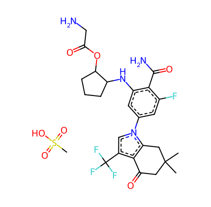 CC1(C)CC(=O)c2c(C(F)(F)F)cn(-c3cc(F)c(C(N)=O)c(NC4CCCC4OC(=O)CN)c3)c2C1.CS(=O)(=O)O